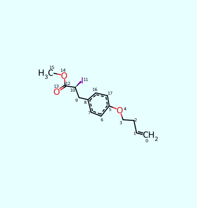 C=CCCOc1ccc(C[C@H](I)C(=O)OC)cc1